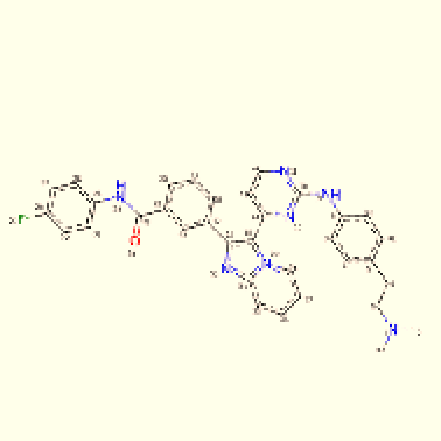 CN(C)CCc1ccc(Nc2nccc(-c3c(-c4cccc(C(=O)Nc5ccc(F)cc5)c4)nc4ccccn34)n2)cc1